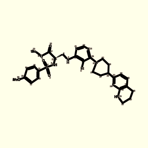 CCc1c(NC[C@H](NS(=O)(=O)c2ccc(OC)cc2)C(=O)OC(C)(C)C)ncnc1N1CCC(c2ccc3c(n2)NCCC3)CC1